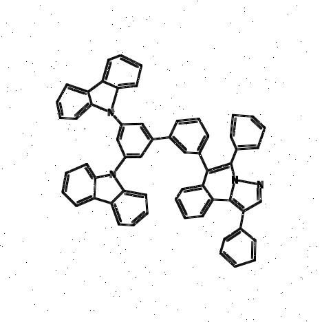 c1ccc(-c2cnn3c(-c4ccccc4)c(-c4cccc(-c5cc(-n6c7ccccc7c7ccccc76)cc(-n6c7ccccc7c7ccccc76)c5)c4)c4ccccc4c23)cc1